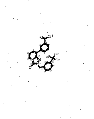 O=C(O)c1cccc(-c2cccn3c(=O)n(Cc4cccc(C(F)(F)F)c4)nc23)c1